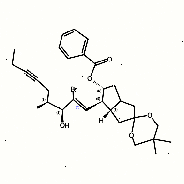 CCC#CC[C@H](C)[C@H](O)/C(Br)=C/[C@H]1[C@H](OC(=O)c2ccccc2)CC2CC3(C[C@@H]21)OCC(C)(C)CO3